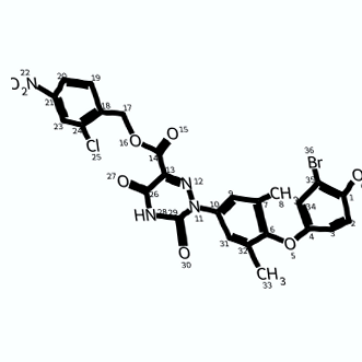 COc1ccc(Oc2c(C)cc(-n3nc(C(=O)OCc4ccc([N+](=O)[O-])cc4Cl)c(=O)[nH]c3=O)cc2C)cc1Br